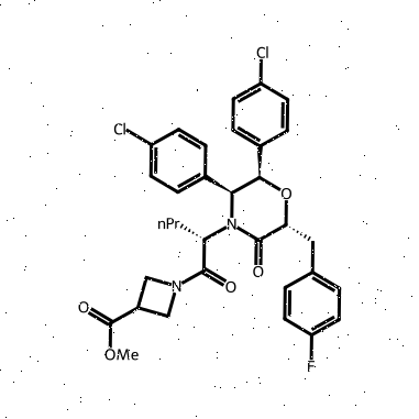 CCC[C@@H](C(=O)N1CC(C(=O)OC)C1)N1C(=O)[C@@H](Cc2ccc(F)cc2)O[C@H](c2ccc(Cl)cc2)[C@@H]1c1ccc(Cl)cc1